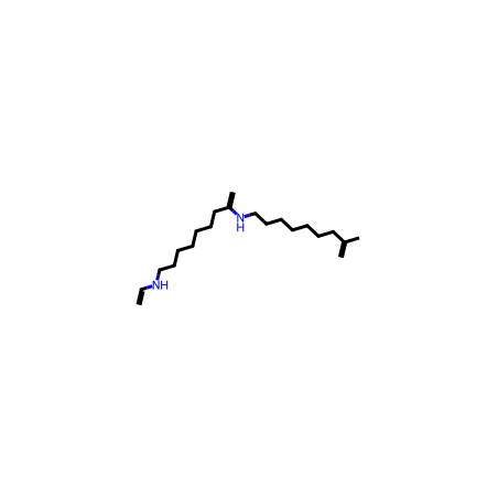 C=CNCCCCCCCC(=C)NCCCCCCCC(=C)C